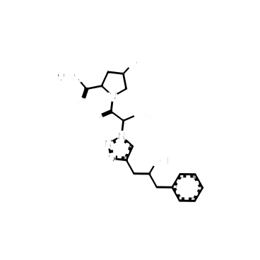 CNC(=O)C1CC(O)CN1C(=O)C(n1cc(CC(O)Cc2ccccc2)nn1)C(C)(C)C